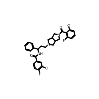 O=C(NC(CCN1CC2CN(C(=O)c3c(F)cccc3Cl)CC2C1)c1ccccc1)c1ccc(F)c(Cl)c1